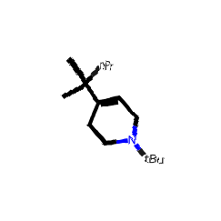 CCCC(C)(C)C1=CCN(C(C)(C)C)CC1